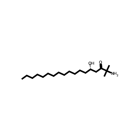 CCCCCCCCCCCCC[C@H](O)CC(=O)C(C)(C)N